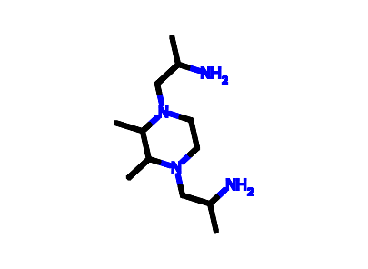 CC(N)CN1CCN(CC(C)N)C(C)C1C